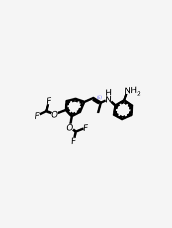 C/C(=C\c1ccc(OC(F)F)c(OC(F)F)c1)Nc1ccccc1N